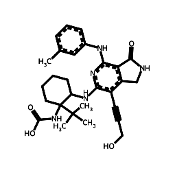 Cc1cccc(Nc2nc(NC3CCCCC3(NC(=O)O)C(C)(C)C)c(C#CCO)c3c2C(=O)NC3)c1